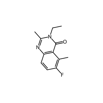 CCn1c(C)nc2ccc(F)c(C)c2c1=O